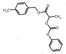 Cc1ccc(COC(=O)C(C)OC(=O)Oc2ccccc2)cc1